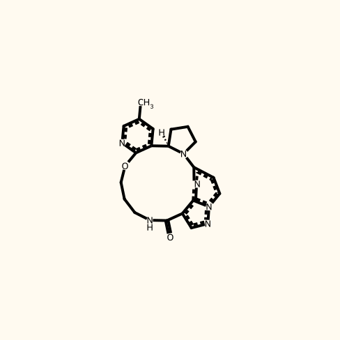 Cc1cnc2c(c1)[C@H]1CCCN1c1ccn3ncc(c3n1)C(=O)NCCCO2